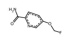 NC(=O)c1ccc(OCF)cn1